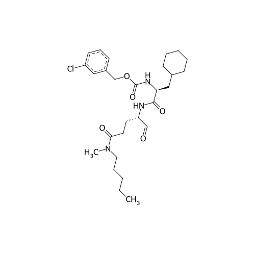 CCCCCN(C)C(=O)CC[C@@H](C=O)NC(=O)[C@H](CC1CCCCC1)NC(=O)OCc1cccc(Cl)c1